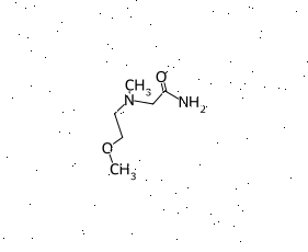 COCCN(C)CC(N)=O